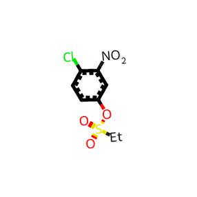 CCS(=O)(=O)Oc1ccc(Cl)c([N+](=O)[O-])c1